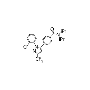 CC(C)N(C(=O)c1ccc(-c2cc(C(F)(F)F)nn2-c2ccccc2Cl)cc1)C(C)C